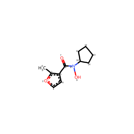 Cc1occc1C(=O)N(O)C1CCCC1